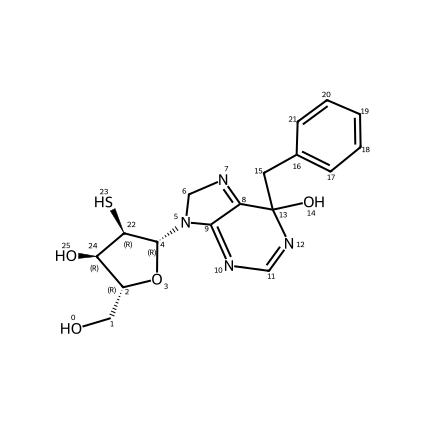 OC[C@H]1O[C@@H](N2CN=C3C2=NC=NC3(O)Cc2ccccc2)[C@H](S)[C@@H]1O